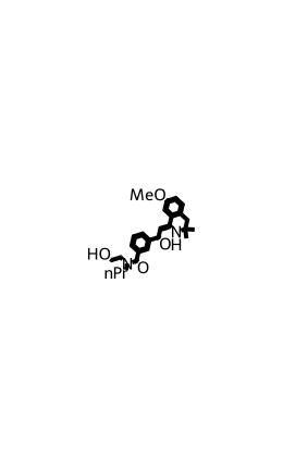 CCCN(CCO)C(=O)c1cccc(C(=O)C=C2NC(C)(C)Cc3ccc(OC)cc32)c1